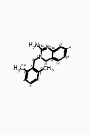 Cc1cccc(C)c1CN1Cc2ccccc2N=C1N